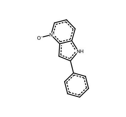 [O-][n+]1cccc2[nH]c(-c3ccccc3)cc21